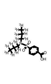 [2H]C([2H])([2H])C([2H])([2H])C([2H])([2H])N(C([2H])([2H])C([2H])([2H])C([2H])([2H])[2H])S(=O)(=O)c1ccc(C(=O)O)cc1